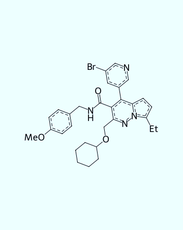 CCc1ccc2c(-c3cncc(Br)c3)c(C(=O)NCc3ccc(OC)cc3)c(COC3CCCCC3)nn12